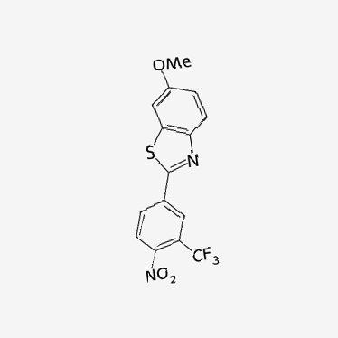 COc1ccc2nc(-c3ccc([N+](=O)[O-])c(C(F)(F)F)c3)sc2c1